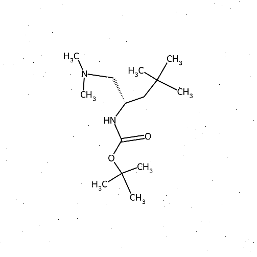 CN(C)C[C@H](CC(C)(C)C)NC(=O)OC(C)(C)C